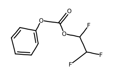 O=C(Oc1ccccc1)OC(F)C(F)F